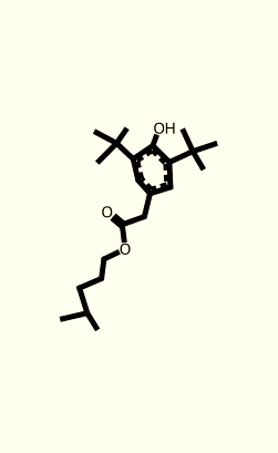 CC(C)CCCOC(=O)Cc1cc(C(C)(C)C)c(O)c(C(C)(C)C)c1